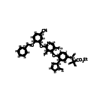 CCOC(=O)C(C)(C)N(C)c1ccc(Oc2c(F)cnc(Oc3cc(C#N)ccc3OCc3ccccc3)c2F)c(C2N=CCN2C)c1